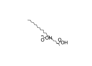 C=CC(=O)O.CCCCCCCCCCCCCCCCCCC=C(C)C(=O)O